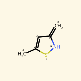 C=C1C=C(C)SN1